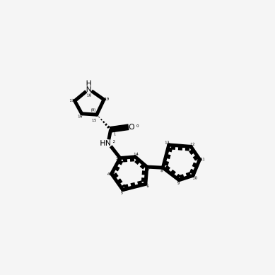 O=C(Nc1cccc(-c2ccccc2)c1)[C@@H]1CCNC1